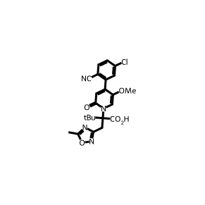 COc1cn(C(Cc2noc(C)n2)(C(=O)O)C(C)(C)C)c(=O)cc1-c1cc(Cl)ccc1C#N